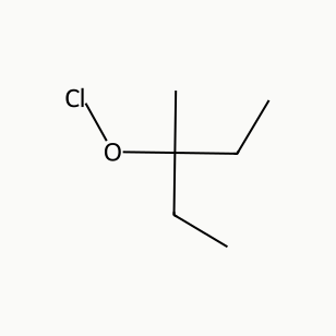 CCC(C)(CC)OCl